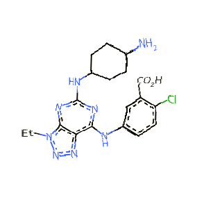 CCn1nnc2c(Nc3ccc(Cl)c(C(=O)O)c3)nc(NC3CCC(N)CC3)nc21